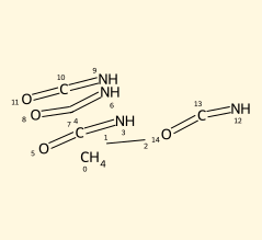 C.CC.N=C=O.N=C=O.N=C=O.N=C=O